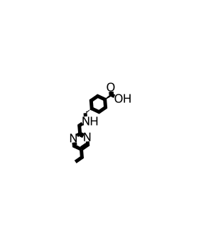 CCc1cnc(CNC[C@H]2CC[C@H](C(=O)O)CC2)nc1